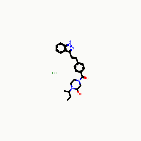 CCC(C)N1CCN(C(=O)c2ccc(C=Cc3n[nH]c4ccccc34)cc2)CC1O.Cl